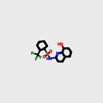 O=S(=O)(Nc1ccc2cccc(O)c2n1)c1ccccc1C(F)(F)F